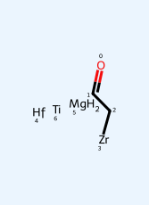 O=C[CH2][Zr].[Hf].[MgH2].[Ti]